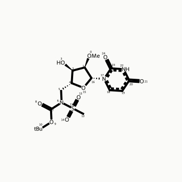 CO[C@@H]1[C@H](O)[C@@H](CN(C(=O)OC(C)(C)C)S(C)(=O)=O)O[C@H]1n1ccc(=O)[nH]c1=O